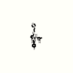 Cc1cc(Nc2nc(C(F)(F)c3ccc(F)cc3)nc3ccc(COCCCN4CCOCC4)n23)n[nH]1